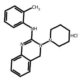 Cc1ccccc1NC1=Nc2ccccc2CN1N1CCCCC1.Cl